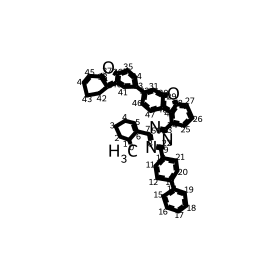 CC1CCCC=C1c1nc(-c2ccc(-c3ccccc3)cc2)nc(-c2cccc3oc4cc(-c5ccc6oc7c(c6c5)CCC=C7)ccc4c23)n1